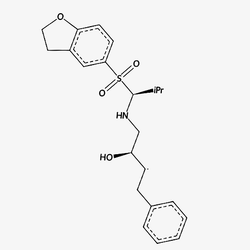 CC(C)[C@@H](NC[C@H](O)[CH]Cc1ccccc1)S(=O)(=O)c1ccc2c(c1)CCO2